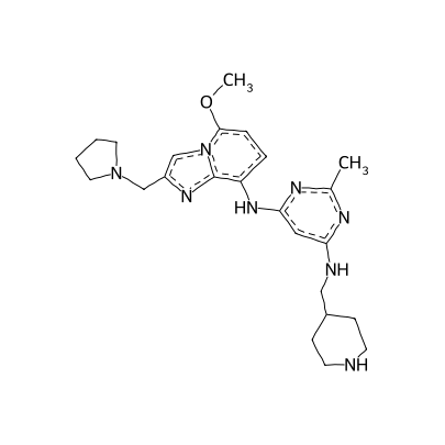 COc1ccc(Nc2cc(NCC3CCNCC3)nc(C)n2)c2nc(CN3CCCC3)cn12